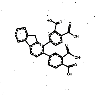 O=C(O)c1ccc(-c2ccc3c(c2-c2ccc(C(=O)O)c(C(=O)O)c2)Cc2ccccc2-3)cc1C(=O)O